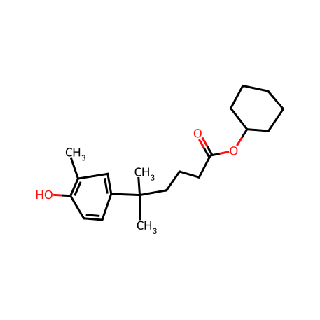 Cc1cc(C(C)(C)CCCC(=O)OC2CCCCC2)ccc1O